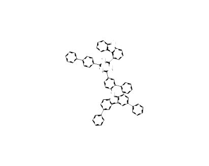 c1ccc(-c2ccc(-c3nc(-c4ccc(-n5c6ccc(-c7ccccc7)cc6c6cc(-c7ccccc7)ccc65)c(-c5ccccc5)c4)nc(-c4cccc5oc6ccccc6c45)n3)cc2)cc1